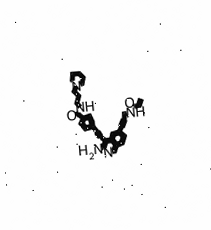 C=CC(=O)NCC#Cc1ccc2cnc(N)c(C#Cc3ccc(C(=O)NCCCN4CCCCC4)cc3)c2c1